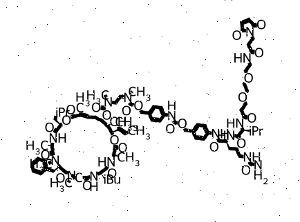 C/C=C(\C)[C@H]1OC(=O)[C@@H](C)NC(=O)[C@H](C(C)CC)NC(=O)CN(C)C(=O)[C@@H](Cc2ccccc2)N(C)C(=O)[C@H](C)NC(=O)[C@@H](CC(C)C)OC(=O)/C(C)=C/C[C@H](OC(=O)N(C)CCN(C)C(=O)OCc2ccc(NC(=O)OCc3ccc(NC(=O)[C@H](CCCNC(N)=O)NC(=O)[C@@H](NC(=O)CCOCCOCCNC(=O)CCN4C(=O)C=CC4=O)C(C)C)cc3)cc2)[C@@H]1C